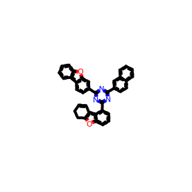 C1=Cc2c(oc3cccc(-c4nc(-c5ccc6ccccc6c5)nc(-c5ccc6c(c5)oc5ccccc56)n4)c23)CC1